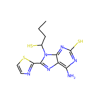 CCCC(S)n1c(-c2nccs2)nc2c(N)nc(S)nc21